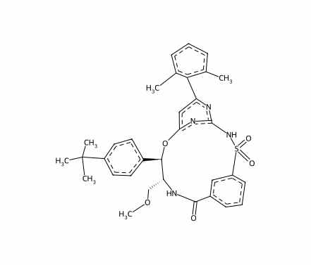 COC[C@H]1NC(=O)c2cccc(c2)S(=O)(=O)Nc2nc(cc(-c3c(C)cccc3C)n2)O[C@@H]1c1ccc(C(C)(C)C)cc1